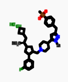 CCn1nc(Cc2ccc(S(C)(=O)=O)cc2)cc1C1CCN(CC2CC([C@H](CC3CCC3)C(=O)O)CC2c2cccc(F)c2)CC1.Cl.Cl